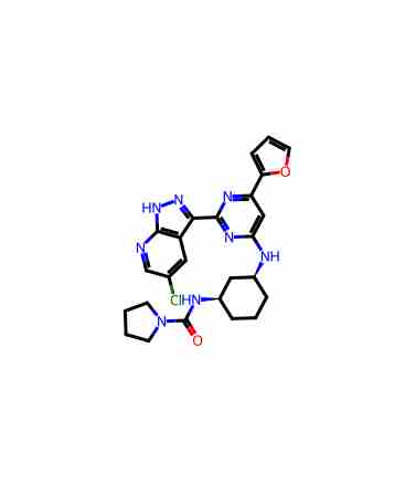 O=C(N[C@@H]1CCC[C@H](Nc2cc(-c3ccco3)nc(-c3n[nH]c4ncc(Cl)cc34)n2)C1)N1CCCC1